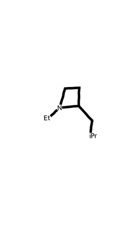 CCN1CCC1CC(C)C